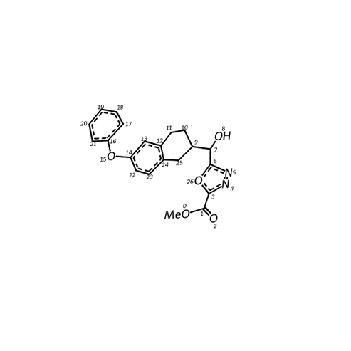 COC(=O)c1nnc(C(O)C2CCc3cc(Oc4ccccc4)ccc3C2)o1